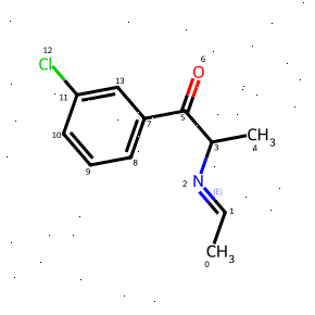 C/C=N/C(C)C(=O)c1cccc(Cl)c1